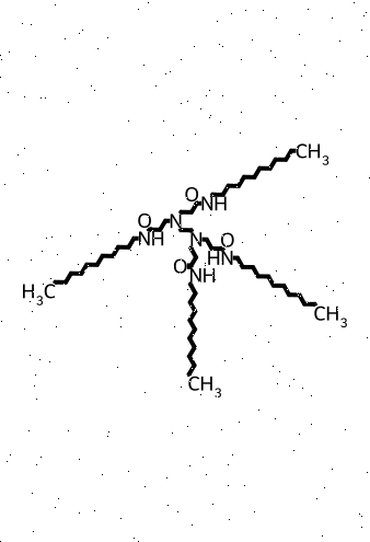 CCCCCCCCCCCCNC(=O)CCN(CCC(=O)NCCCCCCCCCCCC)CCN(CCC(=O)NCCCCCCCCCCCC)CCC(=O)NCCCCCCCCCCCC